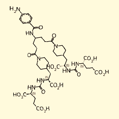 Nc1ccc(C(=O)NC(CCC(=O)N2CCC(C[C@H](NC(=O)N[C@@H](CCC(=O)O)C(=O)O)C(=O)O)CC2)CCC(=O)N2CCC(C[C@H](NC(=O)N[C@@H](CCC(=O)O)C(=O)O)C(=O)O)CC2)cc1